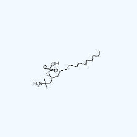 CCCCCCCCCCCCC(CC(C)(C)N)OS(=O)(=O)O